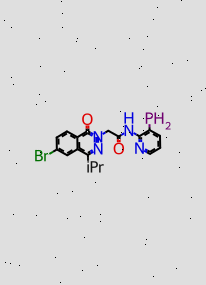 CC(C)c1nn(CC(=O)Nc2ncccc2P)c(=O)c2ccc(Br)cc12